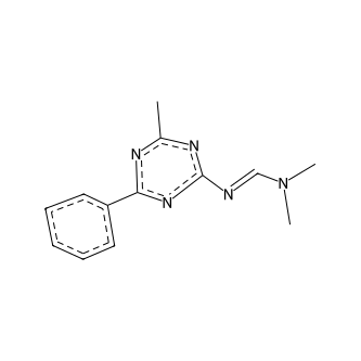 Cc1nc(/N=C/N(C)C)nc(-c2ccccc2)n1